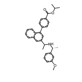 COc1cccc([C@@H](C)NC(C)c2cc(-c3ccc(C(=O)OC(C)C)cc3)c3ccccc3c2)c1